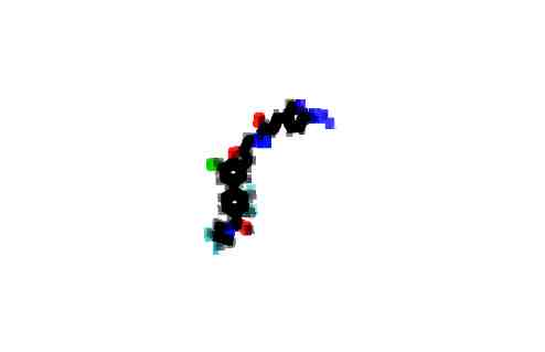 Nc1ccc(C=CC(=O)NCC2Cc3cc(-c4ccc(C(=O)N5CC(F)(F)C5)c(F)c4F)cc(Cl)c3O2)cn1